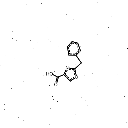 O=C(O)c1coc(Cc2ccccc2)n1